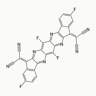 N#CC(C#N)=C1c2cc(F)ccc2-c2nc3c(F)c4nc5c(nc4c(F)c3nc21)-c1ccc(F)cc1C5=C(C#N)C#N